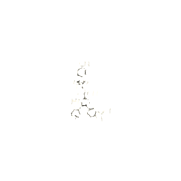 CC(C)(CNS(=O)(=O)c1ccc(C#N)cc1)c1nc(-c2ccc(Cl)c(O)c2)c(-c2ccncc2)[nH]1